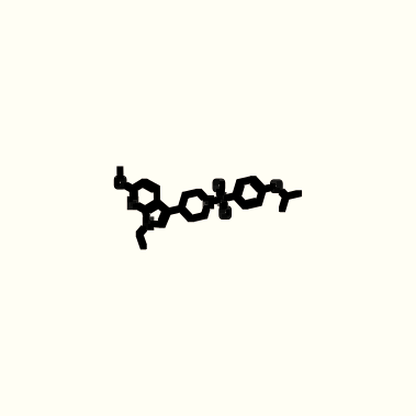 CCn1cc(C2CCN(S(=O)(=O)c3ccc(OC(C)C)cc3)CC2)c2ccc(OC)nc21